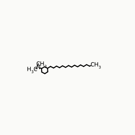 CCCCCCCCCCCCCCCC1CCCC(N(C)C)C1